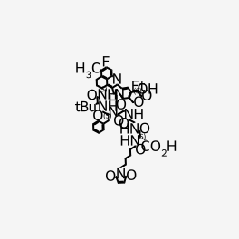 CC[C@@]1(O)C(=O)OCc2c1cc1n(c2=O)Cc2c-1nc1cc(F)c(C)c3c1c2[C@@H](NC(=O)C(NC(=O)[C@H](Cc1ccccc1)NC(=O)CNC(=O)CNC(=O)[C@H](CC(=O)O)NC(=O)CCCCCN1C(=O)C=CC1=O)C(C)(C)C)CC3